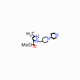 COC(=O)c1cc(C)nn1CC1CCN(c2ccncc2)CC1